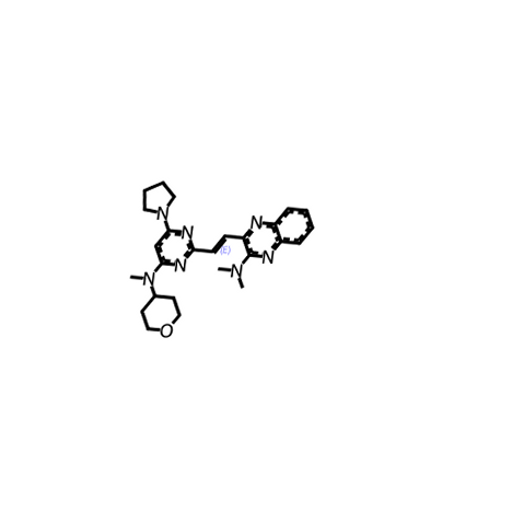 CN(C)c1nc2ccccc2nc1/C=C/c1nc(N2CCCC2)cc(N(C)C2CCOCC2)n1